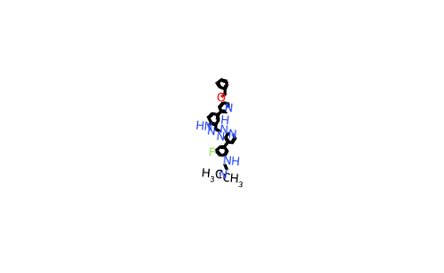 CN(C)CCNc1cc(F)cc(-c2ccnc3[nH]c(-c4n[nH]c5ccc(-c6cncc(OCc7ccccc7)c6)cc45)nc23)c1